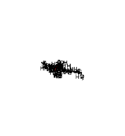 CCOCCC(C)(C)C(=O)NCCCCC(N)C(=O)NCCC(=O)Nc1cc(COC(=O)N(C)C(C(=O)NC(C(=O)N(C)C(C(C)CC)C(CC(=O)N2CCCC2C(OC)C(C)C(=O)NC(C)C(O)c2ccccc2)OC)C(C)C)C(C)C)ccc1O[C@@H]1O[C@H](C(=O)O)[C@@H](O)[C@H](O)[C@H]1O